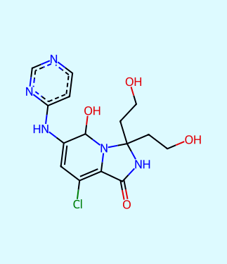 O=C1NC(CCO)(CCO)N2C1=C(Cl)C=C(Nc1ccncn1)C2O